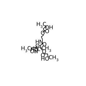 C[C@@H](O)CC(=O)OCCCNC(=O)[C@H](OC(=O)C[C@@H](C)O)C(C)(C)COC(=O)C[C@@H](C)O